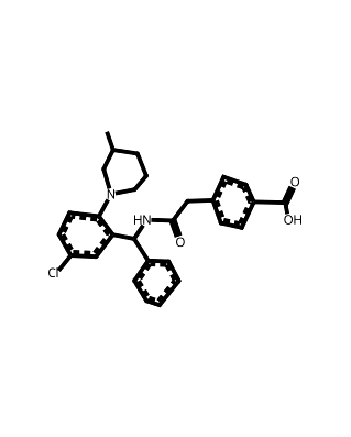 CC1CCCN(c2ccc(Cl)cc2C(NC(=O)Cc2ccc(C(=O)O)cc2)c2ccccc2)C1